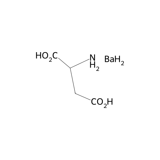 NC(CC(=O)O)C(=O)O.[BaH2]